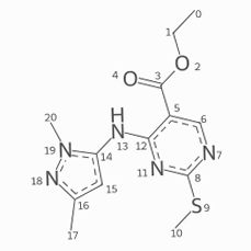 CCOC(=O)c1cnc(SC)nc1Nc1cc(C)nn1C